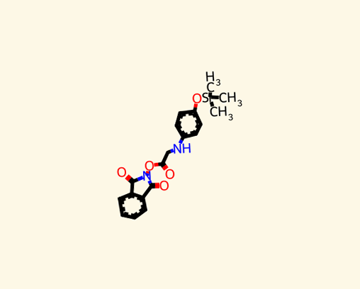 C[Si](C)(C)Oc1ccc(NCC(=O)ON2C(=O)c3ccccc3C2=O)cc1